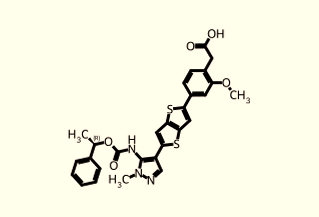 COc1cc(-c2cc3sc(-c4cnn(C)c4NC(=O)O[C@H](C)c4ccccc4)cc3s2)ccc1CC(=O)O